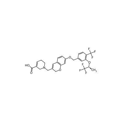 C[C@H](Oc1cc(COc2ccc3c(c2)OCC(CN2CCC=C(C(=O)O)C2)=C3)ccc1C(F)(F)F)C(F)(F)F